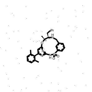 Cc1cccc(C)c1-c1cc2nc(n1)NS(=O)(=O)c1cccc(c1)CN[C@H](CC(C)C)[C@H](C)O2